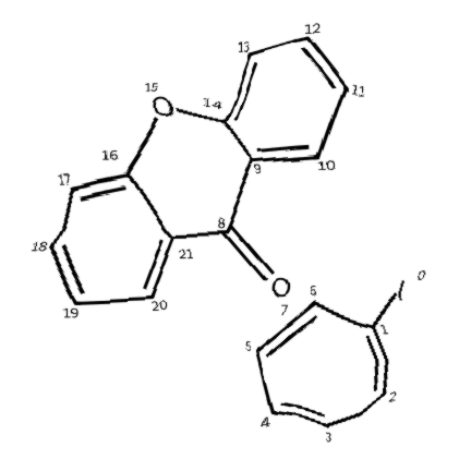 Ic1ccccc1.O=c1c2ccccc2oc2ccccc12